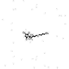 CCN1CC(=O)N(C(C)(C)CCCCOCCCCC(C)(C)C)C1=O